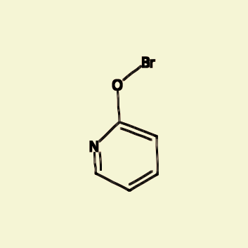 BrOc1ccccn1